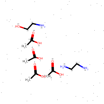 CC(=O)O.CC(=O)O.CC(=O)O.CC(=O)O.NCCN.NCCO